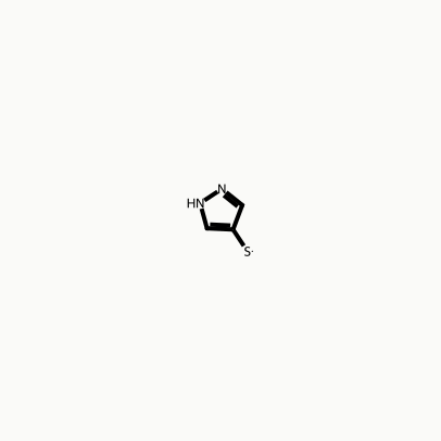 [S]c1cn[nH]c1